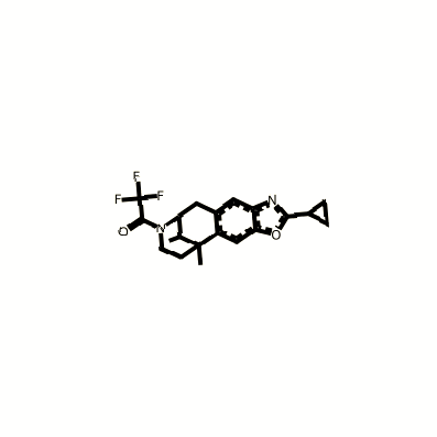 CC1C2Cc3cc4nc(C5CC5)oc4cc3C1(C)CCN2C(=O)C(F)(F)F